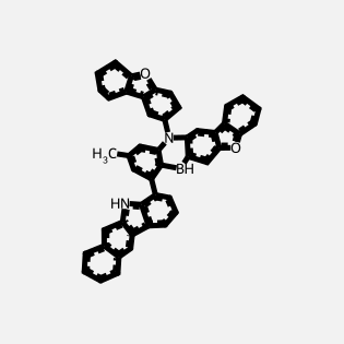 Cc1cc(-c2cccc3c2[nH]c2cc4ccccc4cc23)c2c(c1)N(c1ccc3oc4ccccc4c3c1)c1cc3c(cc1B2)oc1ccccc13